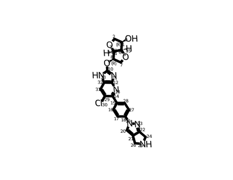 O[C@@H]1CO[C@H]2[C@@H]1OC[C@H]2Oc1nc2nc(-c3ccc(-n4cc5c(n4)CNC5)cc3)c(Cl)cc2[nH]1